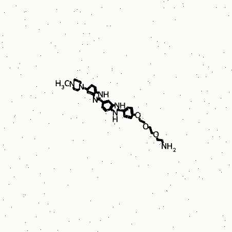 CN1CCN(C2C=c3nc(-c4ccc5c(c4)NC(c4ccc(OCCOCCOCCN)cc4)N5)[nH]c3=CC2)CC1